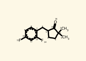 CC1(C)CCC(Cc2ccc(F)cc2F)C1=O